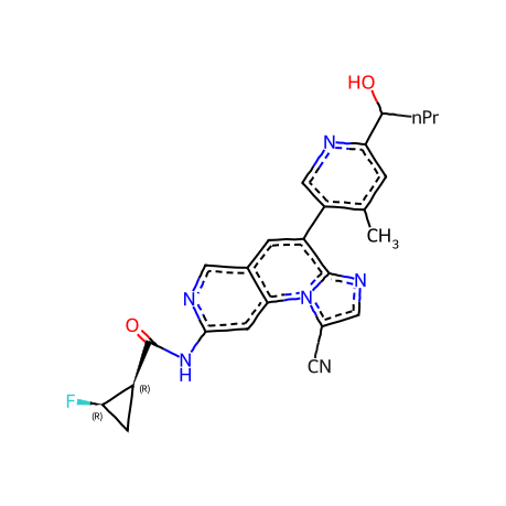 CCCC(O)c1cc(C)c(-c2cc3cnc(NC(=O)[C@H]4C[C@H]4F)cc3n3c(C#N)cnc23)cn1